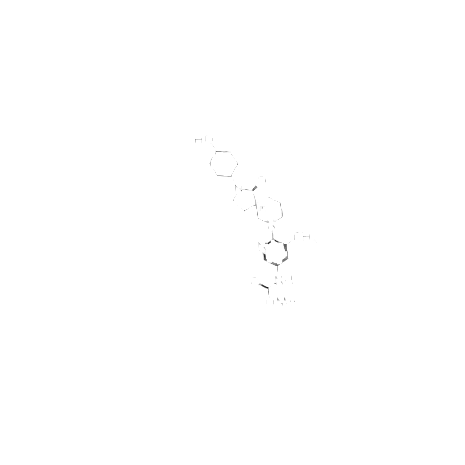 COC(=O)Nc1cnc(N2CCC[C@@]3(CCN([C@H]4CC[C@H](O)CC4)C3=O)C2)c(C)c1